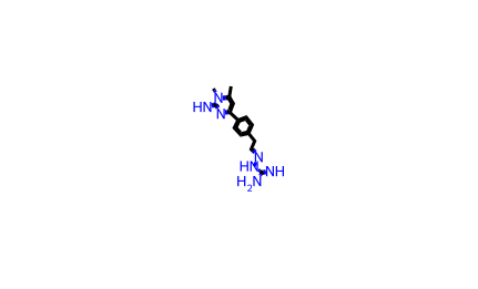 Cc1cc(-c2ccc(CC=NNC(=N)N)cc2)nc(=N)n1C